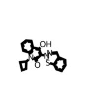 O=c1c(N2N=Cc3ccccc3S2)c(O)c2ccccc2n1C1CCC1